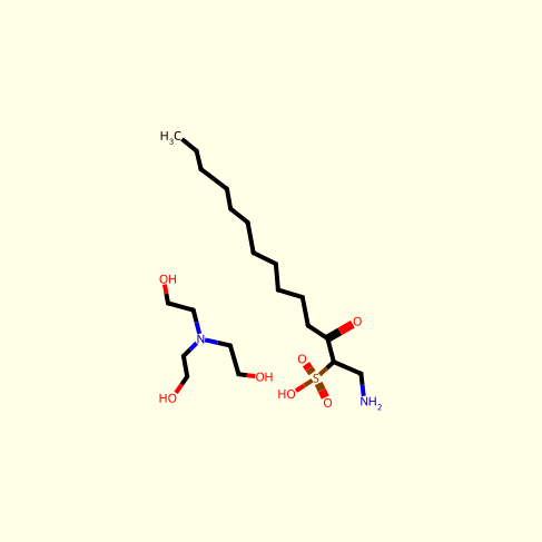 CCCCCCCCCCCC(=O)C(CN)S(=O)(=O)O.OCCN(CCO)CCO